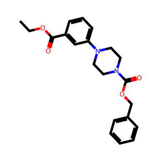 CCOC(=O)c1cccc(N2CCN(C(=O)OCc3ccccc3)CC2)c1